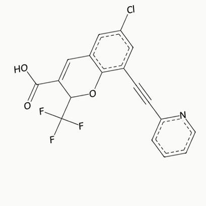 O=C(O)C1=Cc2cc(Cl)cc(C#Cc3ccccn3)c2OC1C(F)(F)F